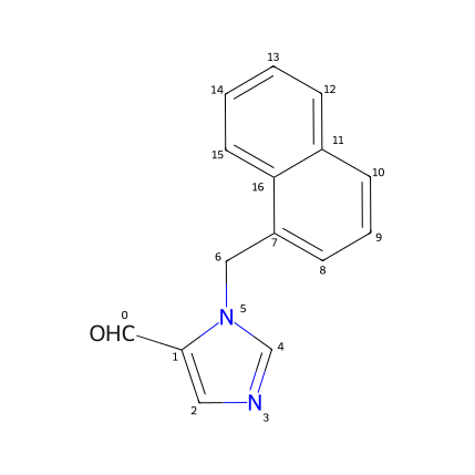 O=Cc1cncn1Cc1cccc2ccccc12